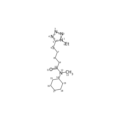 CCn1nnnc1SCCCC(=O)N(C)C1CCCCC1